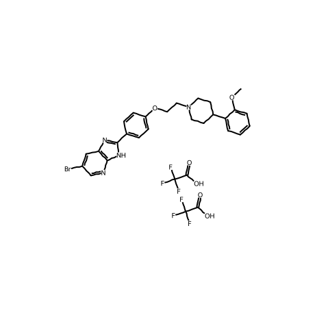 COc1ccccc1C1CCN(CCOc2ccc(-c3nc4cc(Br)cnc4[nH]3)cc2)CC1.O=C(O)C(F)(F)F.O=C(O)C(F)(F)F